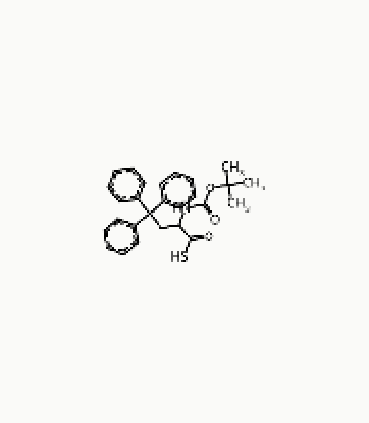 CC(C)(C)OC(=O)NC(CC(c1ccccc1)(c1ccccc1)c1ccccc1)C(=O)S